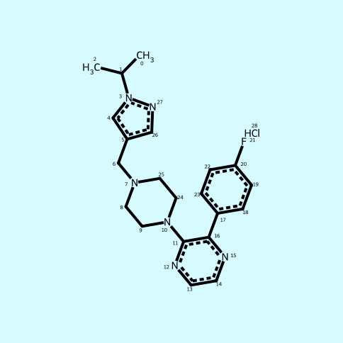 CC(C)n1cc(CN2CCN(c3nccnc3-c3ccc(F)cc3)CC2)cn1.Cl